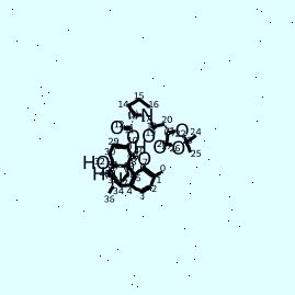 Cc1ccc2c3c1O[C@H]1C(OC(=O)[C@@H]4CCCN4C(=O)C[C@@H]4OC(C)(C)OC4=O)=CC[C@@]4(O)[C@@H](C2)N(C)CC[C@]314